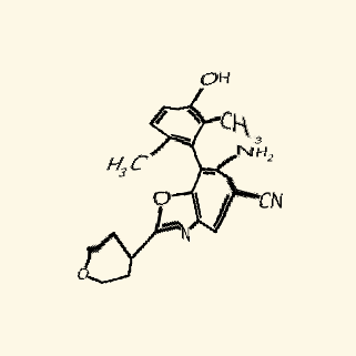 Cc1ccc(O)c(C)c1-c1c(N)c(C#N)cc2nc(C3CCOCC3)oc12